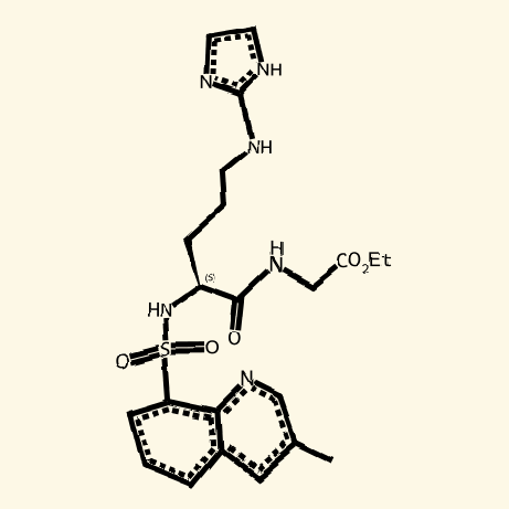 CCOC(=O)CNC(=O)[C@H](CCCNc1ncc[nH]1)NS(=O)(=O)c1cccc2cc(C)cnc12